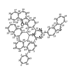 c1ccc(-c2ccc(-c3nc(-c4ccc5sc6ccccc6c5c4)nc(-c4ccc5c(oc6c7ccccc7ccc56)c4C4CCc5ccccc5-c5cc6ccccc6cc54)n3)cc2)cc1